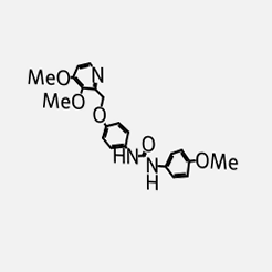 COc1ccc(NC(=O)Nc2ccc(OCc3nccc(OC)c3OC)cc2)cc1